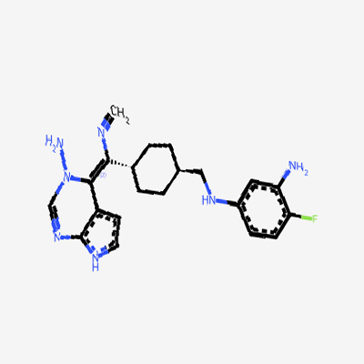 C=N/C(=C1/c2cc[nH]c2N=CN1N)[C@H]1CC[C@H](CNc2ccc(F)c(N)c2)CC1